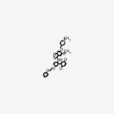 COc1cc2c(Nc3ccc(OCCOc4ccccc4)cc3C3=CC(=O)C=CC3=O)ncnc2cc1OCC1CCN(C)CC1